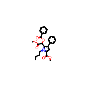 CCCCn1c(C(=O)OC)cc(-c2ccccc2)c1C(OC(=O)c1ccccc1)C(=O)OC